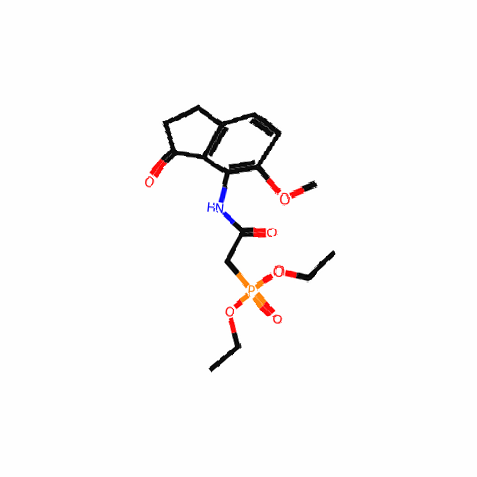 CCOP(=O)(CC(=O)Nc1c(OC)ccc2c1C(=O)CC2)OCC